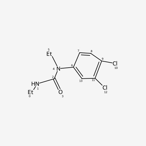 CCNC(=O)N(CC)c1ccc(Cl)c(Cl)c1